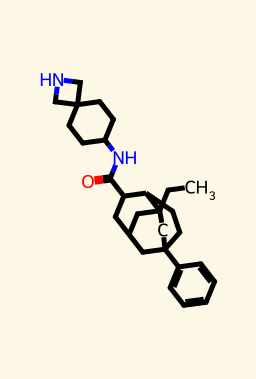 CCC12CC3CC(C(=O)NC4CCC5(CC4)CNC5)C1CCC(c1ccccc1)(C3)C2